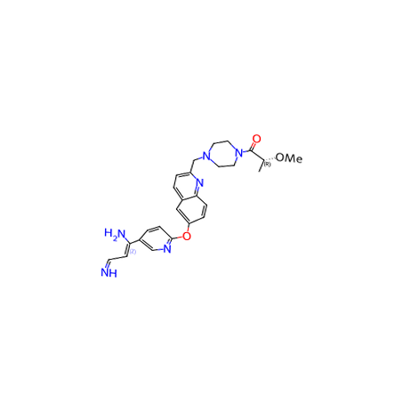 CO[C@H](C)C(=O)N1CCN(Cc2ccc3cc(Oc4ccc(/C(N)=C/C=N)cn4)ccc3n2)CC1